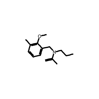 C=C(C)N(CCC)Cc1cccc(C)c1OC